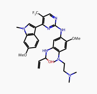 C=CC(O)Nc1cc(Nc2ncc(C(F)(F)F)c(-c3cn(C)c4cc(OC)ccc34)n2)c(OC)cc1N(C)CCN(C)C